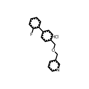 Cl.Fc1ccccc1-c1ccc(COCc2cccnc2)cc1